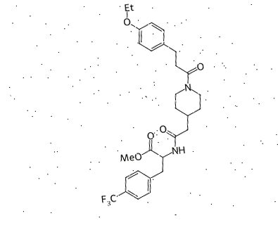 CCOc1ccc(CCC(=O)N2CCC(CC(=O)NC(Cc3ccc(C(F)(F)F)cc3)C(=O)OC)CC2)cc1